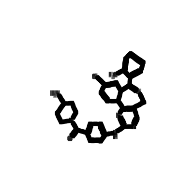 NC1CCN(C(=O)c2ccc(Nc3ncc4c(n3)C3C=CC(Cl)=CC3C(c3ccccc3C(F)(F)F)=NC4)cc2)CC1